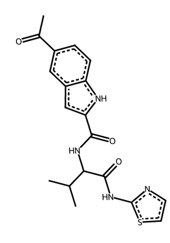 CC(=O)c1ccc2[nH]c(C(=O)NC(C(=O)Nc3nccs3)C(C)C)cc2c1